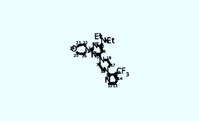 CCN(CC)c1cc(N2CCN(c3ncccc3C(F)(F)F)CC2)nc(N2CCOCC2)n1